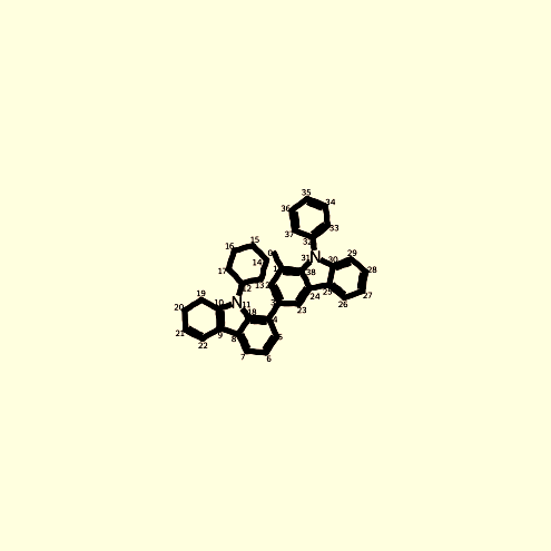 Cc1cc(-c2cccc3c4c(n(C5CCCCC5)c23)CCC=C4)cc2c3ccccc3n(-c3ccccc3)c12